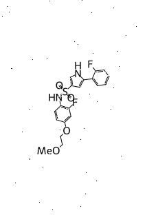 COCCOc1ccc(NS(=O)(=O)c2c[nH]c(-c3ccccc3F)c2)c(F)c1